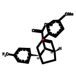 COC(=O)C1=C[C@H]2CC[C@@](c3ccc(C(F)(F)F)cc3)(C1)N2Cc1ccc(OC)cc1